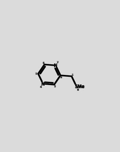 [CH2]SCc1cnccn1